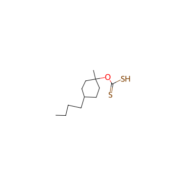 CCCCC1CCC(C)(OC(=S)S)CC1